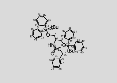 CC(C)(C)[Si](OCC(CO[Si](c1ccccc1)(c1ccccc1)C(C)(C)C)NC(=O)OCc1ccccc1)(c1ccccc1)c1ccccc1